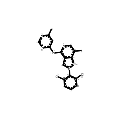 Cc1cc(Nc2ncc(C)c3nn(-c4c(Cl)cccc4Cl)cc23)ncn1